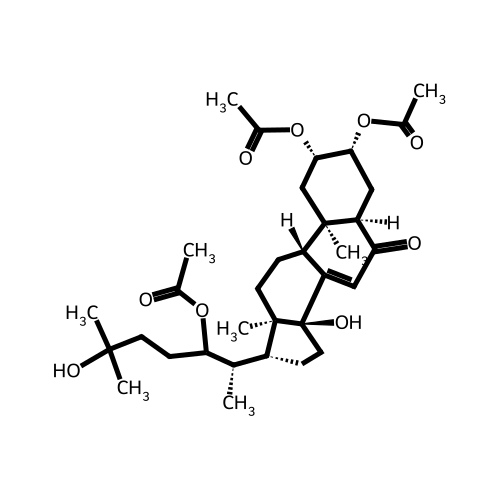 CC(=O)OC(CCC(C)(C)O)[C@@H](C)[C@H]1CC[C@@]2(O)C3=CC(=O)[C@@H]4C[C@@H](OC(C)=O)[C@@H](OC(C)=O)C[C@]4(C)[C@H]3CC[C@]12C